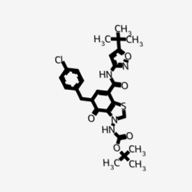 CC(C)(C)OC(=O)NN1CSC2=C1C(=O)C(Cc1ccc(Cl)cc1)C=C2C(=O)Nc1cc(C(C)(C)C)on1